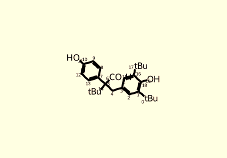 CC(C)(C)c1cc(CC(C(=O)O)(c2ccc(O)cc2)C(C)(C)C)cc(C(C)(C)C)c1O